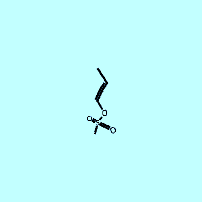 CC=COS(C)(=O)=O